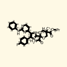 CC(C)OC(=O)C1(C)COC(C(N)=O)(c2nc(-c3ccc(F)cc3)c(-c3ccnc(Nc4ccccc4)n3)[nH]2)OC1